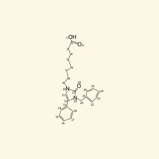 O=C(O)CCCCCCCn1cc(-c2ccccc2)n(Cc2ccccc2)c1=O